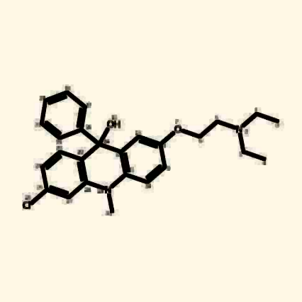 CCN(CC)CCOc1ccc2c(c1)C(O)(c1ccccc1)c1ccc(Cl)cc1N2C